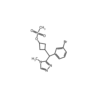 Cn1cnnc1C(c1cccc(Br)c1)C1CC(OS(C)(=O)=O)C1